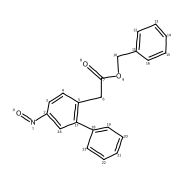 O=Nc1ccc(CC(=O)OCc2ccccc2)c(-c2ccccc2)c1